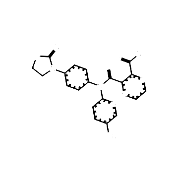 N#Cc1ccc(N(C(=O)c2nccnc2C(N)=O)c2ccc(N3CCOC3=N)cc2)nc1